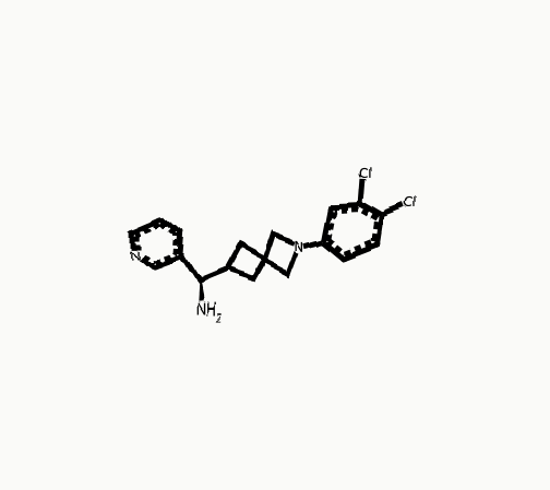 N[C@@H](c1cccnc1)C1CC2(C1)CN(c1ccc(Cl)c(Cl)c1)C2